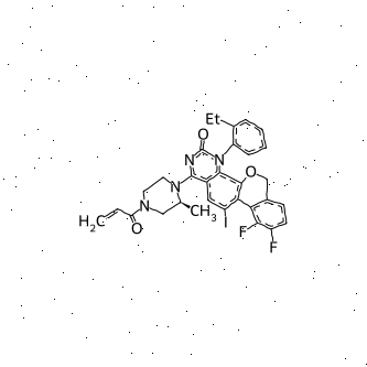 C=CC(=O)N1CCN(c2nc(=O)n(-c3ccccc3CC)c3c4c(c(I)cc23)-c2c(ccc(F)c2F)CO4)[C@@H](C)C1